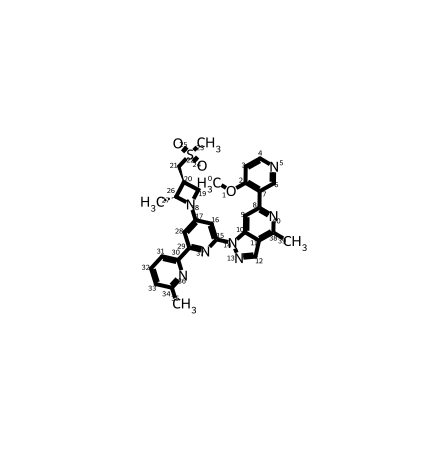 COc1ccncc1-c1cc2c(cnn2-c2cc(N3C[C@H](CS(C)(=O)=O)[C@H]3C)cc(-c3cccc(C)n3)n2)c(C)n1